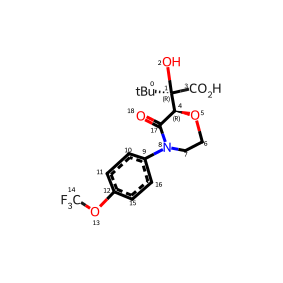 CC(C)(C)[C@](O)(C(=O)O)[C@H]1OCCN(c2ccc(OC(F)(F)F)cc2)C1=O